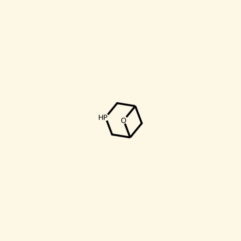 C1PCC2CC1O2